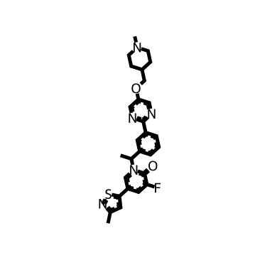 Cc1cc(-c2cc(F)c(=O)n(C(C)c3cccc(-c4ncc(OCC5CCN(C)CC5)cn4)c3)c2)sn1